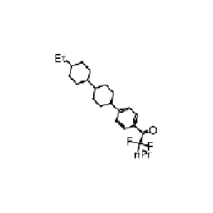 CCCC(F)(F)C(=O)c1ccc(C2CCC(C3CCC(CC)CC3)CC2)cc1